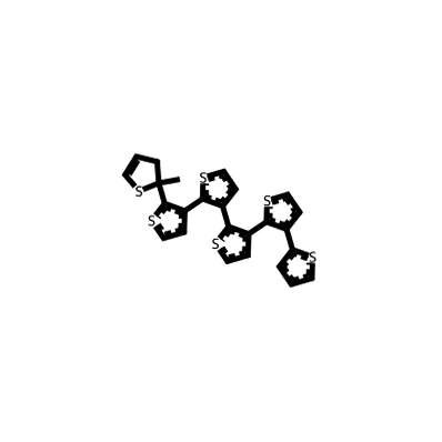 CC1(c2sccc2-c2sccc2-c2sccc2-c2sccc2-c2cccs2)CC=CS1